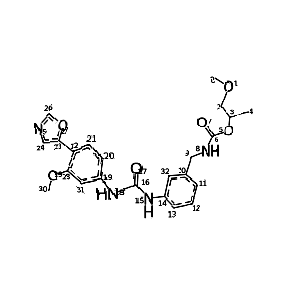 COCC(C)OC(=O)NCc1cccc(NC(=O)Nc2ccc(-c3cnco3)c(OC)c2)c1